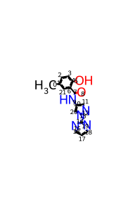 Cc1ccc(O)c(C(=O)Nc2cnn(-c3ncccn3)c2)c1